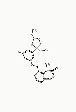 CCC1OCC(CC)(c2cc(F)cc(OCc3cccc4ccc(=O)n(C)c34)c2)O1